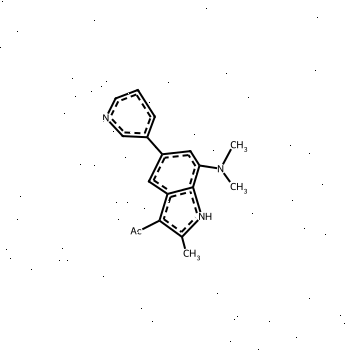 CC(=O)c1c(C)[nH]c2c(N(C)C)cc(-c3cccnc3)cc12